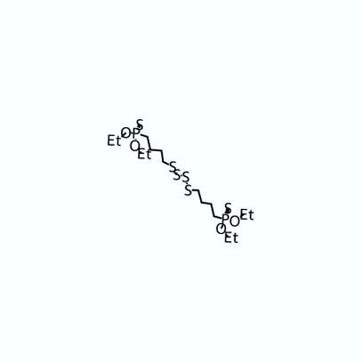 CCOP(=S)(CCCCSSSSCCCCP(=S)(OCC)OCC)OCC